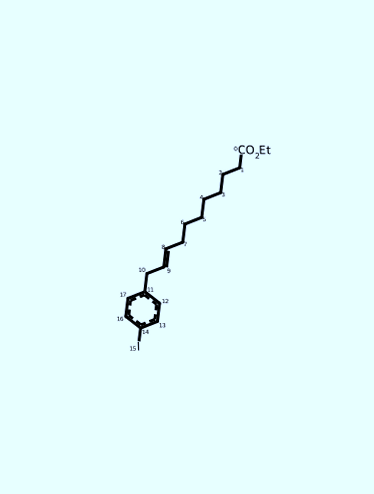 CCOC(=O)CCCCCCC/C=C/Cc1ccc(I)cc1